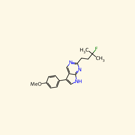 COc1ccc(-c2c[nH]c3nc(CCC(C)(C)F)ncc23)cc1